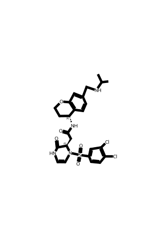 CC(C)NCc1ccc2c(c1)OCC[C@H]2NC(=O)C[C@@H]1C(=O)NC=CN1S(=O)(=O)c1ccc(Cl)c(Cl)c1